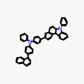 C1=CC2C(c3ccc(-c4ccc(N(c5ccccc5)c5ccc(-c6cccc7ccccc67)cc5)cc4)cc31)c1ccccc1N2c1ccccc1